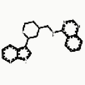 c1ccc2c(NCC3CCOC(c4c[nH]c5ncccc45)C3)ncnc2c1